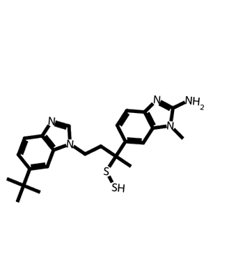 Cn1c(N)nc2ccc(C(C)(CCn3cnc4ccc(C(C)(C)C)cc43)SS)cc21